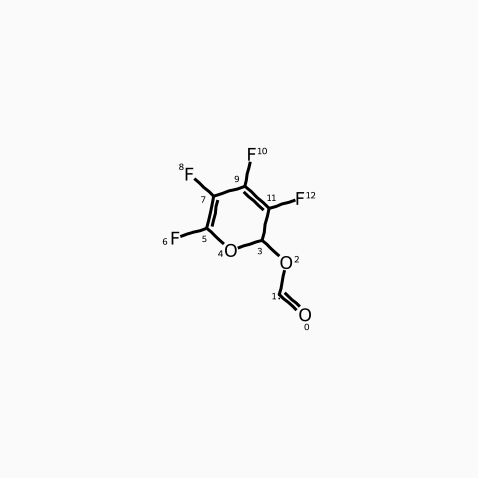 O=[C]OC1OC(F)=C(F)C(F)=C1F